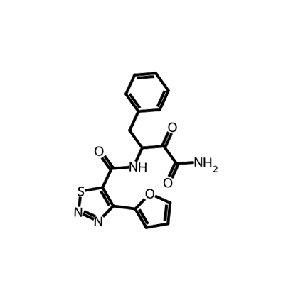 NC(=O)C(=O)C(Cc1ccccc1)NC(=O)c1snnc1-c1ccco1